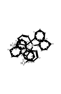 PC1=CC=CC(c2ccccc2)(P(c2ccccc2)C2(c3ccccc3)C=CC=C(P)C2c2ccccc2)C1c1ccccc1